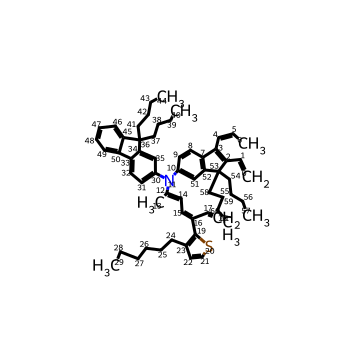 C=CC1=C(/C=C\C)c2ccc(N(/C(C)=C/C=C(\C=C)c3sccc3CCCCCC)c3ccc4c(c3)C(CCCC)(CCCC)c3ccccc3-4)cc2C1(CCCC)CCCC